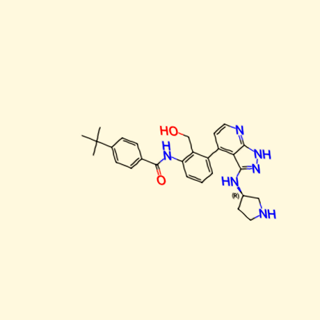 CC(C)(C)c1ccc(C(=O)Nc2cccc(-c3ccnc4[nH]nc(N[C@@H]5CCNC5)c34)c2CO)cc1